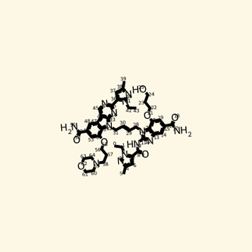 CCn1nc(C)cc1C(=O)Nc1nc2cc(C(N)=O)cc(OCCCO)c2n1CC=CCn1c2nc(-c3cc(C)nn3CC)ncc2c2cc(C(N)=O)cc(OCCCN3CCOCC3)c21